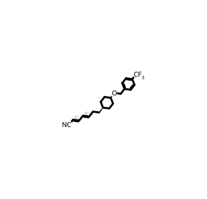 N#C/C=C/C=C/CC[C@H]1CC[C@H](OCc2ccc(C(F)(F)F)cc2)CC1